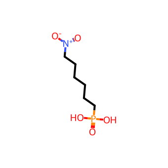 O=[N+]([O-])CCCCCCP(=O)(O)O